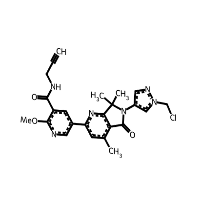 C#CCNC(=O)c1cc(-c2cc(C)c3c(n2)C(C)(C)N(c2cnn(CCl)c2)C3=O)cnc1OC